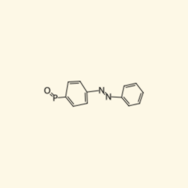 O=Pc1ccc(/N=N/c2ccccc2)cc1